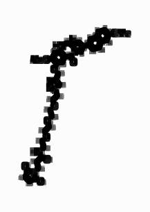 COc1ccc2cc(C3=CN4C(=O)c5cc(OCc6cn(CCOCCOCCOCCNC(=O)CCN7C(=O)C=CC7=O)nn6)c(OC)cc5NC[C@@H]4C3)ccc2c1